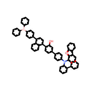 Oc1cc(-c2ccc(N(c3ccccc3-c3ccccc3)c3cccc4c3oc3ccccc34)cc2)ccc1-c1ccc(-c2ccc(B(c3ccccc3)c3ccccc3)cc2)c2ccccc12